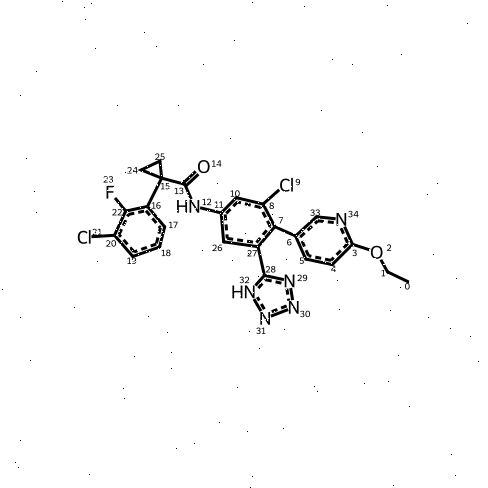 CCOc1ccc(-c2c(Cl)cc(NC(=O)C3(c4cccc(Cl)c4F)CC3)cc2-c2nnn[nH]2)cn1